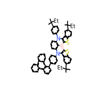 CCC(C)(C)c1ccc(N2c3cccc4c3B(c3sc5ccc(C(C)(C)CC)cc5c3N4c3ccc(-c4cccc5c6ccccc6c6ccccc6c45)cc3)c3sc4ccc(C(C)(C)CC)cc4c32)cc1